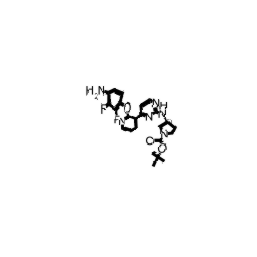 CC(C)(C)OC(=O)N1CC[C@H](Nc2nccc(-c3cccnc3Oc3ccc(N)c(F)c3F)n2)C1